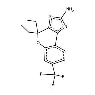 CCC1(CC)Oc2cc(C(F)(F)F)ccc2-c2nc(N)sc21